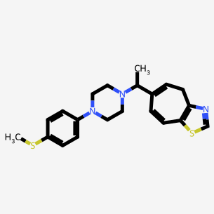 CSc1ccc(N2CCN(C(C)C3=CCc4ncsc4C=C3)CC2)cc1